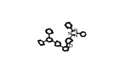 c1ccc(-c2cc(-c3ccccc3)cc(-c3ccc(-c4cccc5oc6cc(-c7nc(-c8ccccc8)nc(-c8ccccc8)n7)ccc6c45)cc3)c2)cc1